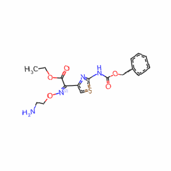 CCOC(=O)/C(=N\OCCN)c1csc(NC(=O)OCc2ccccc2)n1